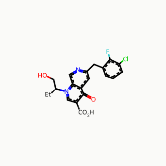 CC[C@@H](CO)n1cc(C(=O)O)c(=O)c2cc(Cc3cccc(Cl)c3F)ncc21